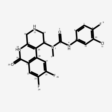 CN(C(=O)Nc1ccc(F)c(Cl)c1)C1CNCc2[nH]c(=O)c3cc(F)c(F)cc3c21